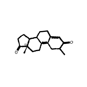 CC1CC2=C3CC[C@]4(C)C(=O)CCC4C3CCC2=CC1=O